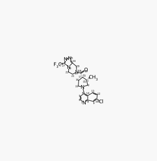 C[C@@H]1CN(c2ccnc3cc(Cl)ccc23)CC[C@@H]1C(=O)N1CCn2c(nnc2C(F)(F)F)C1